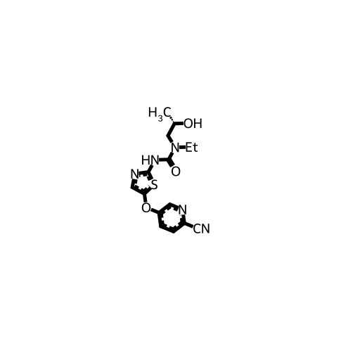 CCN(C[C@H](C)O)C(=O)Nc1ncc(Oc2ccc(C#N)nc2)s1